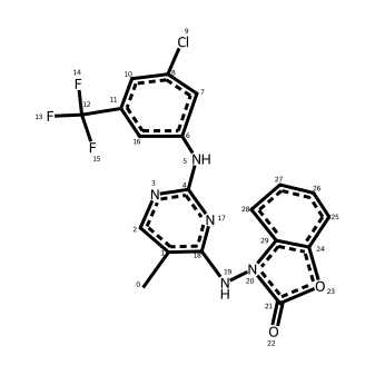 Cc1cnc(Nc2cc(Cl)cc(C(F)(F)F)c2)nc1Nn1c(=O)oc2ccccc21